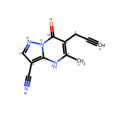 C#CCc1c(C)[nH]c2c(C#N)cnn2c1=O